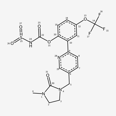 CN1CCN(Cc2ccc(-c3cc(OC(F)(F)F)ccc3OC(=O)N[SH](=O)=O)nc2)C1=O